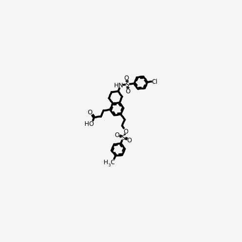 Cc1ccc(S(=O)(=O)OCCc2cc(CCC(=O)O)c3c(c2)CC(NS(=O)(=O)c2ccc(Cl)cc2)CC3)cc1